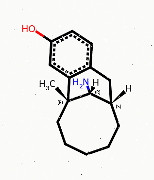 C[C@@]12CCCCC[C@@H](Cc3ccc(O)cc31)[C@H]2N